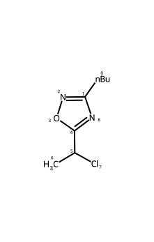 CCCCc1noc(C(C)Cl)n1